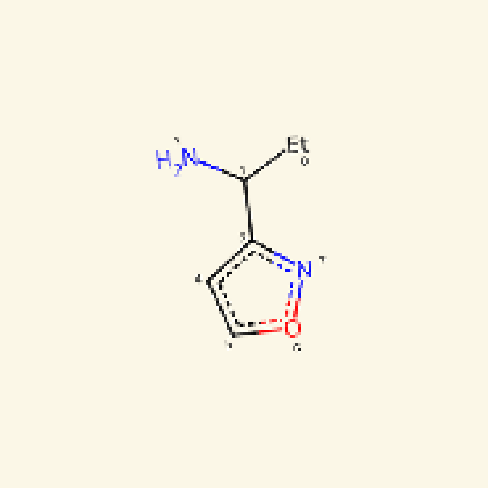 CCC(N)c1ccon1